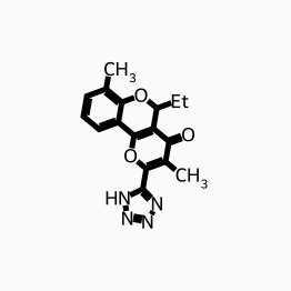 CCC1Oc2c(C)cccc2-c2oc(-c3nnn[nH]3)c(C)c(=O)c21